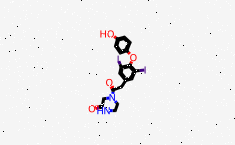 O=C1CN(C(=O)Cc2cc(I)c(Oc3ccc(O)cc3)c(I)c2)CCN1